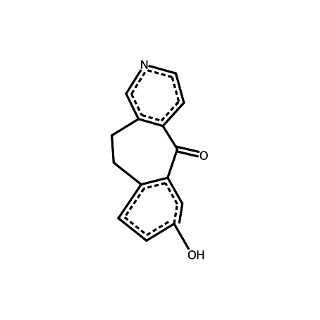 O=C1c2ccncc2CCc2ccc(O)cc21